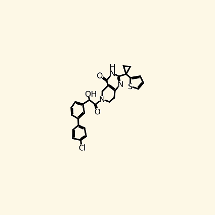 O=C(C(O)c1cccc(-c2ccc(Cl)cc2)c1)N1CCc2nc(C3(c4cccs4)CC3)[nH]c(=O)c2C1